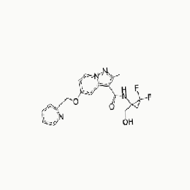 Cc1nn2ccc(OCc3ccccn3)cc2c1C(=O)NC1(CO)CC1(F)F